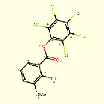 COc1cccc(C(=O)Oc2c(F)c(F)c(F)c(F)c2F)c1O